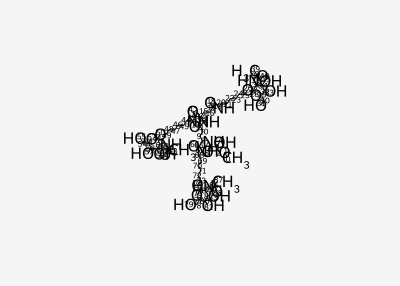 COCC(O)C(=O)NC(CCC(=O)NC(CCC(=O)NCCCCCCOC1OC(CO)C(O)C(O)C1NC(C)=O)C(=O)NCCCCCCOC1OC(CO)C(O)C(O)C1NC(C)=O)C(=O)NCCCCCCOC1OC(CO)C(O)C(O)C1NC(C)=O